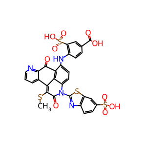 CSc1c2c3c(c(Nc4ccc(C(=O)O)cc4S(=O)(=O)O)ccc3n(-c3nc4ccc(S(=O)(=O)O)cc4s3)c1=O)C(=O)c1ncccc1-2